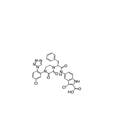 O=C(O)c1[nH]c2ccc(NC(=O)[C@H](Cc3ccccc3)N3CCN(c4cc(Cl)ccc4-n4cnnn4)C(=O)C3=O)cc2c1Cl